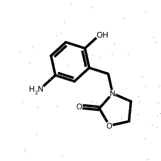 Nc1ccc(O)c(CN2CCOC2=O)c1